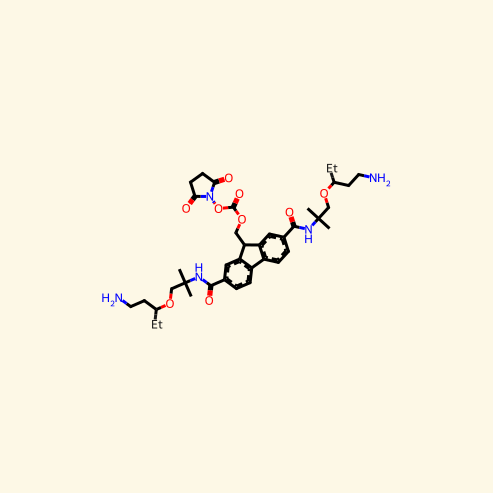 CCC(CCN)OCC(C)(C)NC(=O)c1ccc2c(c1)C(COC(=O)ON1C(=O)CCC1=O)c1cc(C(=O)NC(C)(C)COC(CC)CCN)ccc1-2